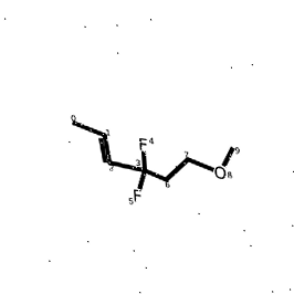 C/C=C/C(F)(F)CCOC